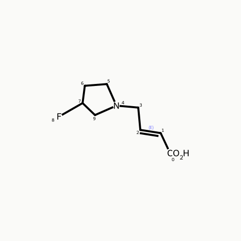 O=C(O)/C=C/CN1CCC(F)C1